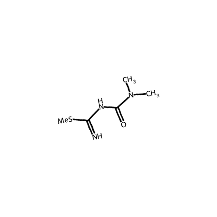 CSC(=N)NC(=O)N(C)C